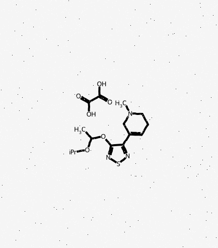 CC(C)OC(C)Oc1nsnc1C1=CCCN(C)C1.O=C(O)C(=O)O